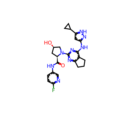 O=C(Nc1ccc(F)nc1)[C@H]1C[C@@H](O)CN1c1nc2c(c(Nc3cc(C4CC4)[nH]n3)n1)CCC2